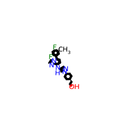 Cc1cc(-c2ccc(Nc3cnn([C@H]4CC[C@H](CCO)CC4)c3)c3nccn23)c(F)cc1F